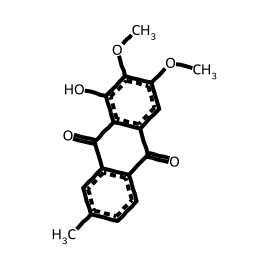 COc1cc2c(c(O)c1OC)C(=O)c1cc(C)ccc1C2=O